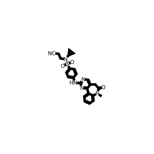 CN1C(=O)Cc2cnc(Nc3ccc(S(=O)(=O)N(CCC#N)C4CC4)cc3)nc2-c2ccccc21